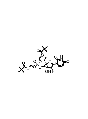 CC[C@]12O[C@@H](n3ccc(=O)[nH]c3=O)[C@H](F)[C@@]1(O)C2OP(=O)(OCOC(=O)C(C)(C)C)OCOC(=O)C(C)(C)C